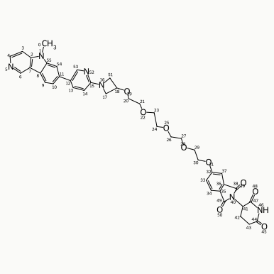 Cn1c2ccncc2c2ccc(-c3ccc(N4CC(OCCOCCOCCOCCOc5ccc6c(c5)C(=O)N(C5CCC(=O)NC5=O)C6=O)C4)nc3)cc21